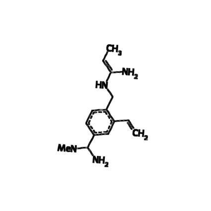 C=Cc1cc(C(N)NC)ccc1CN/C(N)=C/C